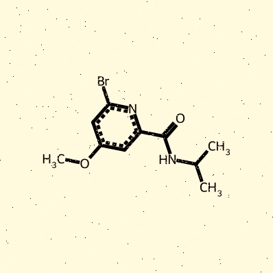 COc1cc(Br)nc(C(=O)NC(C)C)c1